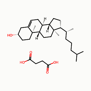 CC(C)CCC[C@@H](C)[C@H]1CC[C@H]2[C@@H]3CC=C4C[C@@H](O)CC[C@]4(C)[C@H]3CC[C@]12C.O=C(O)CCC(=O)O